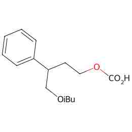 CC(C)COCC(CCOC(=O)O)c1ccccc1